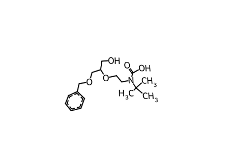 CC(C)(C)N(CCOC(CO)COCc1ccccc1)C(=O)O